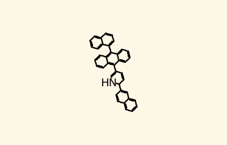 C1=CC(c2ccc3ccccc3c2)NC=C1c1c2ccccc2c(-c2cccc3ccccc23)c2ccccc12